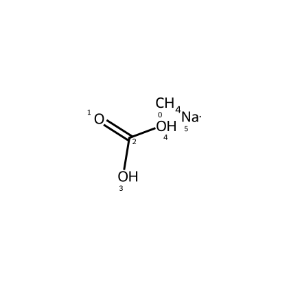 C.O=C(O)O.[Na]